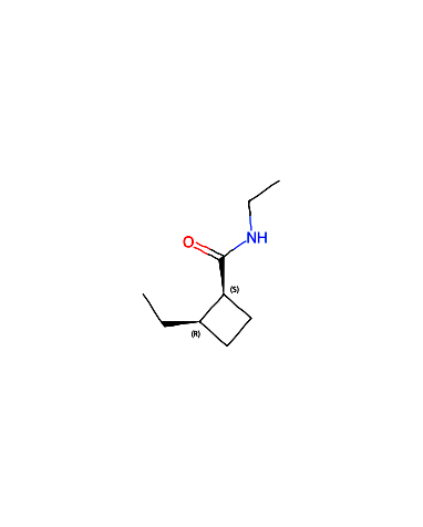 CCNC(=O)[C@H]1CC[C@H]1CC